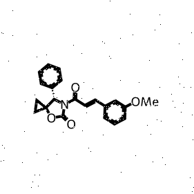 COc1cccc(/C=C/C(=O)N2C(=O)OC3(CC3)[C@@H]2c2ccccc2)c1